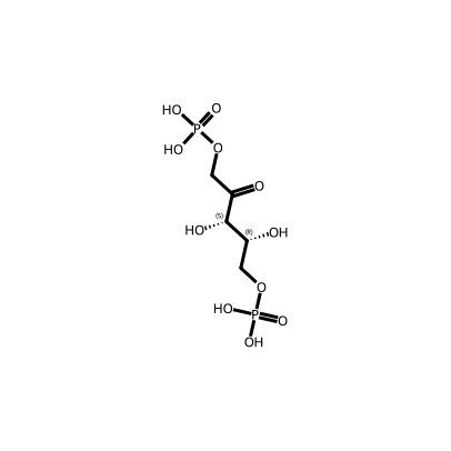 O=C(COP(=O)(O)O)[C@@H](O)[C@H](O)COP(=O)(O)O